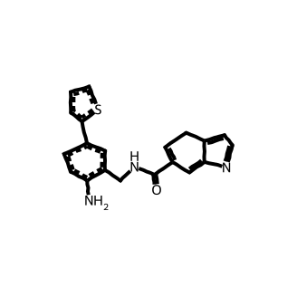 Nc1ccc(-c2cccs2)cc1CNC(=O)C1=CCC2=CC=NC2=C1